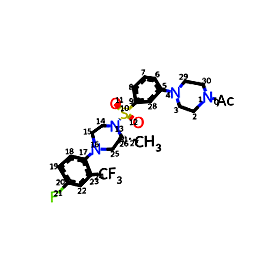 CC(=O)N1CCN(c2cccc(S(=O)(=O)N3CCN(c4ccc(F)cc4C(F)(F)F)C[C@H]3C)c2)CC1